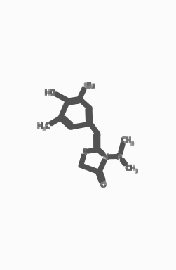 Cc1cc(C=C2SCC(=O)N2N(C)C)cc(C(C)(C)C)c1O